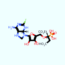 CCOC(=O)[C@@](CC(=O)O)(OCc1oc(N2CNC3=C(N)N=C(F)N[C@@H]32)c(O)c1O)P(=O)(O)O